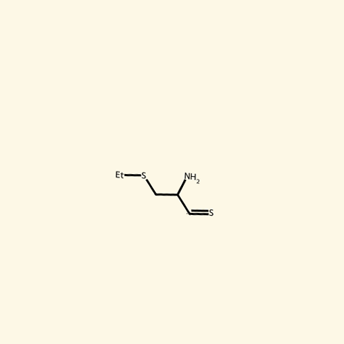 CCSCC(N)[C]=S